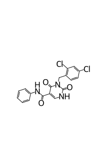 O=C(Nc1ccccc1)c1c[nH]c(=O)n(Cc2ccc(Cl)cc2Cl)c1=O